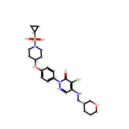 O=c1c(Cl)c(NC[C@@H]2CCCOC2)cnn1-c1ccc(OC2CCN(S(=O)(=O)C3CC3)CC2)cc1